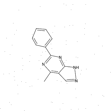 Cc1nc(-c2ccccc2)nc2[nH]ncc12